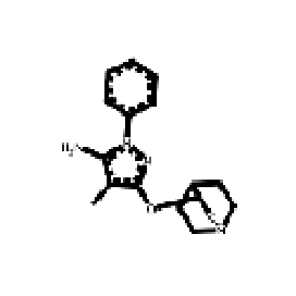 Cc1c(OC2CN3CCC2CC3)nn(-c2ccccc2)c1N